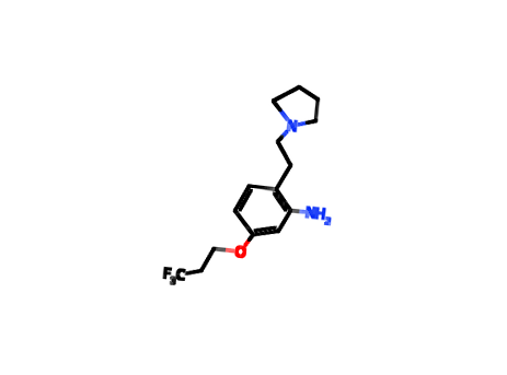 Nc1cc(OCCC(F)(F)F)ccc1CCN1CCCC1